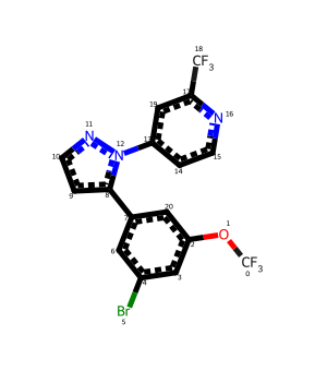 FC(F)(F)Oc1cc(Br)cc(-c2c[c]nn2-c2ccnc(C(F)(F)F)c2)c1